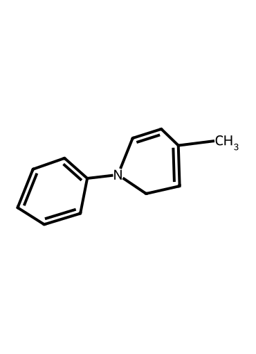 CC1=CCN(c2ccccc2)C=C1